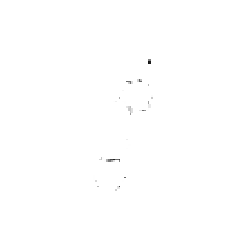 CC(C)c1ccc2c(c1)CCN2Cc1ccccc1